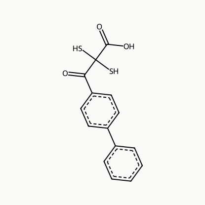 O=C(O)C(S)(S)C(=O)c1ccc(-c2ccccc2)cc1